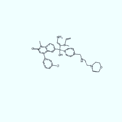 C=CN(C)/C(=C\N)C(O)(c1ccc(CNCCN2CCOCC2)cc1)c1ccc2c(c1)c(-c1cccc(Cl)c1)cc(=O)n2C